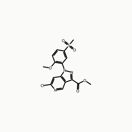 COC(=O)c1nn(-c2cc(S(C)(=O)=O)ccc2OC)c2cc(Cl)ncc12